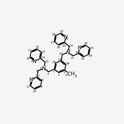 Cc1cc(CN(Cc2ccccn2)Cc2ccccn2)cc(CN(Cc2ccccn2)Cc2ccccn2)c1